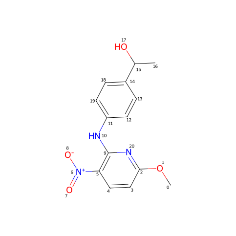 COc1ccc([N+](=O)[O-])c(Nc2ccc(C(C)O)cc2)n1